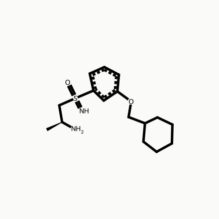 C[C@H](N)CS(=N)(=O)c1cccc(OCC2CCCCC2)c1